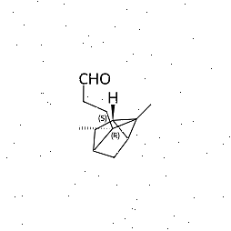 CC12C3CC(C[C@@H]31)[C@@]2(C)CCC=O